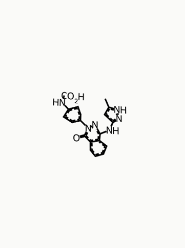 Cc1cc(Nc2nn(-c3ccc(NC(=O)O)cc3)c(=O)c3ccccc23)n[nH]1